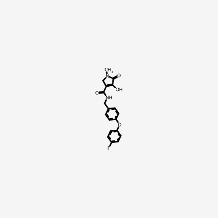 CN1CC(C(=O)NCc2ccc(Oc3ccc(F)cc3)cc2)=C(O)C1=O